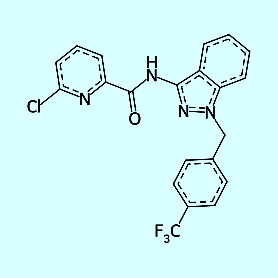 O=C(Nc1nn(Cc2ccc(C(F)(F)F)cc2)c2ccccc12)c1cccc(Cl)n1